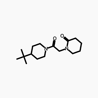 CC(C)(C)C1CCN(C(=O)CN2CCCCC2=O)CC1